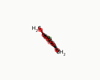 C=CC(=O)OCCCCCCOc1ccc2cc(C(=O)Oc3ccc(OC(=O)c4ccc5cc(OCCCCCCOC(=O)C=C)ccc5c4)c(F)c3F)ccc2c1